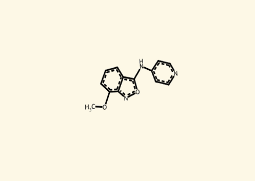 COc1cccc2c(Nc3ccncc3)onc12